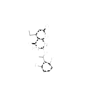 CCc1cc(=O)oc2nc(OC(C)c3c(F)cccc3F)[nH]c(=O)c12